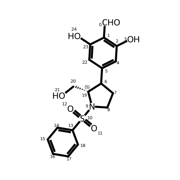 O=Cc1c(O)cc(C2CCN(S(=O)(=O)c3ccccc3)[C@@H]2CO)cc1O